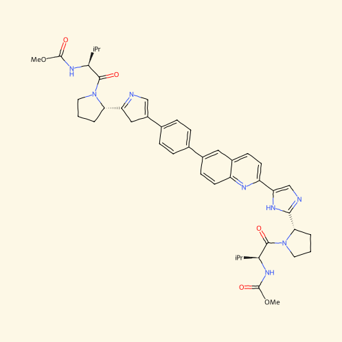 COC(=O)N[C@H](C(=O)N1CCC[C@H]1C1=NC=C(c2ccc(-c3ccc4nc(-c5cnc([C@@H]6CCCN6C(=O)[C@@H](NC(=O)OC)C(C)C)[nH]5)ccc4c3)cc2)C1)C(C)C